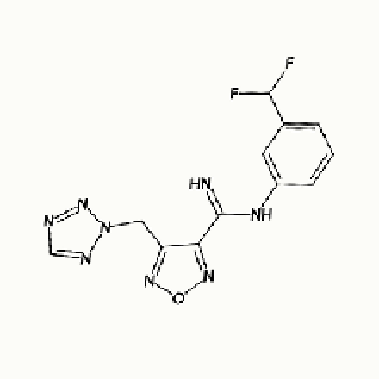 N=C(Nc1cccc(C(F)F)c1)c1nonc1Cn1ncnn1